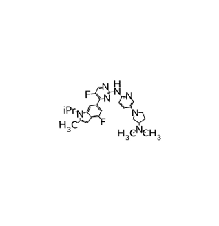 Cc1cc2c(F)cc(-c3nc(Nc4ccc(N5CCC(N(C)C)C5)cn4)ncc3F)cc2n1C(C)C